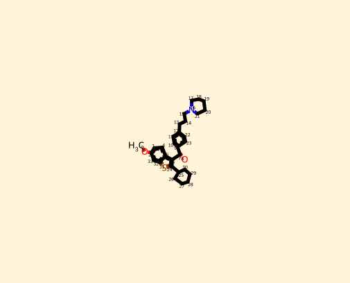 COc1ccc2c(C(=O)c3ccc(CCCN4CCCCC4)cc3)c(C3CCCCC3)sc2c1